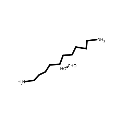 NCCCCCCCCCCN.O=CO